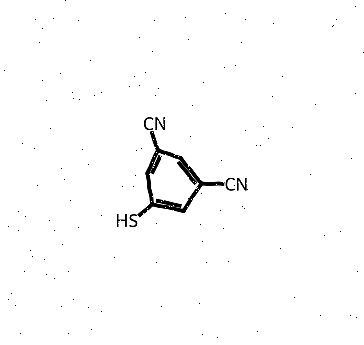 N#Cc1cc(S)cc(C#N)c1